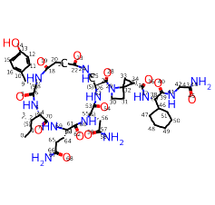 CC[C@H](C)[C@@H]1NC(=O)[C@H](Cc2ccc(O)cc2)NC(=O)CCC(=O)NC[C@@H](C(=O)N2CCC23C[C@@H]3C(=O)N[C@H](C(=O)NCC(N)=O)C2CCCCC2)NC(=O)[C@H](CC(N)=O)NC(=O)[C@H](CCC(N)=O)NC1=O